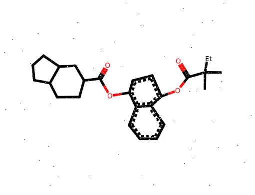 CCC(C)(C)C(=O)Oc1ccc(OC(=O)C2CCC3CCCC3C2)c2ccccc12